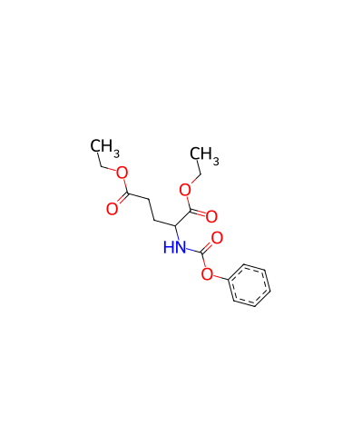 CCOC(=O)CCC(NC(=O)Oc1ccccc1)C(=O)OCC